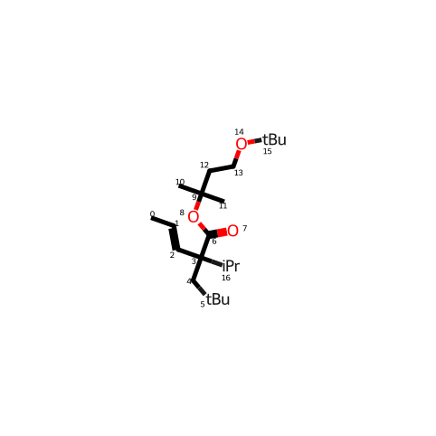 CC=CC(CC(C)(C)C)(C(=O)OC(C)(C)CCOC(C)(C)C)C(C)C